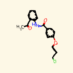 CC(=O)c1ccccc1NC(=O)c1ccc(OCCCCl)cc1